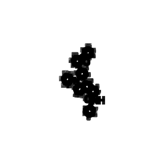 c1ccc(C2Nc3ccc4ccc5c(N(c6ccccc6)c6cccc(-c7cccc8c7oc7ccccc78)c6)cccc5c4c3O2)cc1